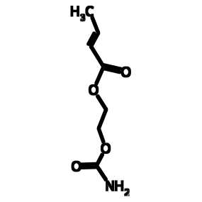 CC=CC(=O)OCCOC(N)=O